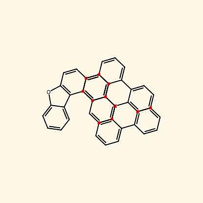 c1ccc(-c2ccccc2N(c2ccccc2)c2ccccc2-c2cccc3c4ccc5oc6ccccc6c5c4c4ccccc4c23)cc1